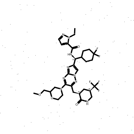 CCn1nccc1C(=O)N[C@H](c1cn2nc(C[C@H]3C[C@@H](C(F)(F)F)CNC3=O)c(N3CCOC(COC)C3)nc2n1)C1CCC(F)(F)CC1